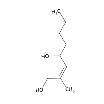 CCCCC(O)C=C(C)CO